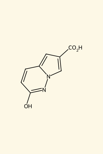 O=C(O)c1cc2ccc(O)nn2c1